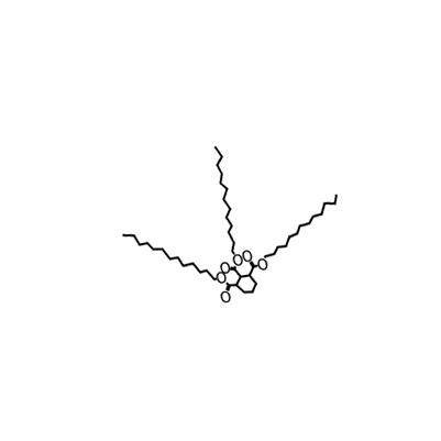 CCCCCCCCCCCCCOC(=O)C1CCCC(C(=O)OCCCCCCCCCCCCC)C1C(=O)OCCCCCCCCCCCCC